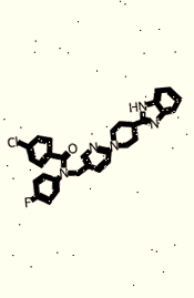 O=C(c1ccc(Cl)cc1)N(Cc1ccc(N2CCC(c3nc4ccccc4[nH]3)CC2)nc1)c1ccc(F)cc1